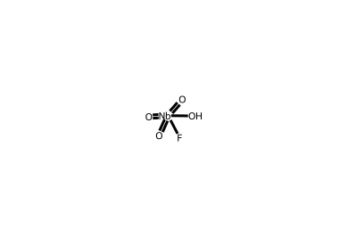 [O]=[Nb](=[O])(=[O])([OH])[F]